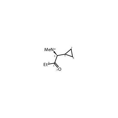 CCC(=O)[C@@H](NC)C1CC1